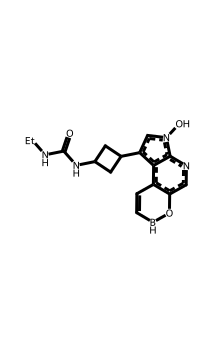 CCNC(=O)NC1CC(c2cn(O)c3ncc4c(c23)C=CBO4)C1